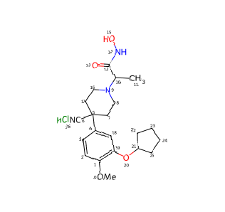 COc1ccc(C2(C#N)CCN(C(C)C(=O)NO)CC2)cc1OC1CCCC1.Cl